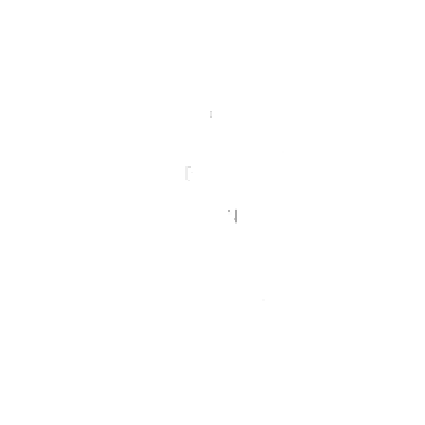 c1ccc(-c2ccc3c(c2)Oc2cc(-c4ccccc4)cc4c2B3c2cc(-c3ccccc3)cc3c5cc(-c6ccccc6)ccc5n-4c23)cc1